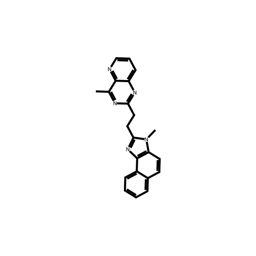 Cc1nc(CCc2nc3c4ccccc4ccc3n2C)nc2cccnc12